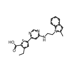 CCc1cc(-c2cc(NCCn3c(C)cc4ccccc43)ncn2)sc1C(=O)O